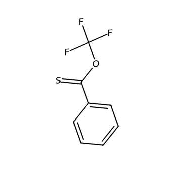 FC(F)(F)OC(=S)c1ccccc1